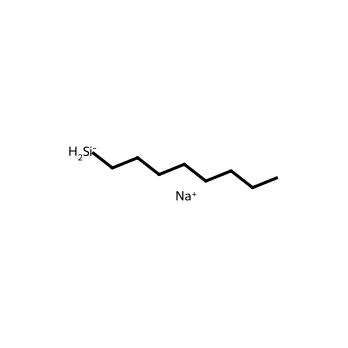 CCCCCCCC[SiH2-].[Na+]